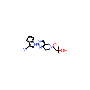 CC(C)(O)CC(=O)N1CCc2nc(-n3cc(C#N)c4ccccc43)ncc2C1